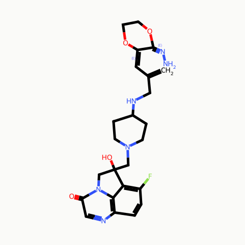 C=C(/C=C1/OCCO/C1=N/N)CNC1CCN(CC2(O)Cn3c(=O)cnc4ccc(F)c2c43)CC1